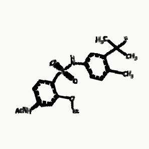 CCOc1cc(NC(C)=O)ccc1S(=O)(=O)Nc1ccc(C)c(C(C)(C)F)c1